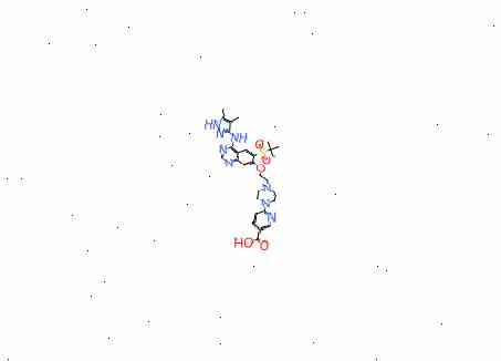 Cc1[nH]nc(Nc2ncnc3cc(OCCN4CCN(c5ccc(C(=O)O)cn5)CC4)c(S(=O)(=O)C(C)(C)C)cc23)c1C